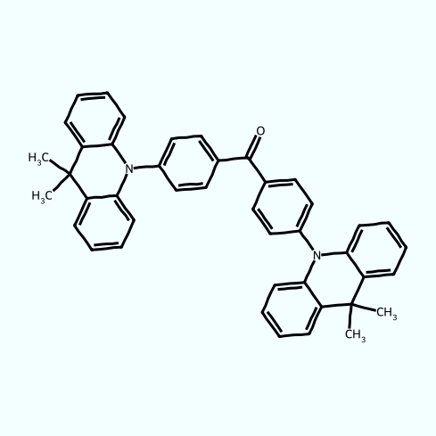 CC1(C)c2ccccc2N(c2ccc(C(=O)c3ccc(N4c5ccccc5C(C)(C)c5ccccc54)cc3)cc2)c2ccccc21